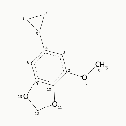 COc1cc(C2CC2)cc2c1OCO2